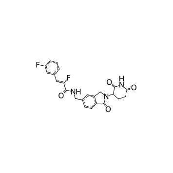 O=C1CCC(N2Cc3cc(CNC(=O)/C(F)=C/c4cccc(F)c4)ccc3C2=O)C(=O)N1